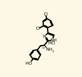 Cl.N[C@@H](Cc1ccc(O)cc1)c1nc(-c2ccc(Cl)cc2Cl)c[nH]1